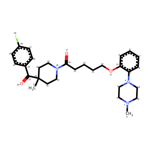 CN1CCN(c2ccccc2OCCCCC(=O)N2CCC(C)(C(=O)c3ccc(F)cc3)CC2)CC1